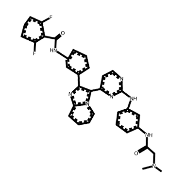 CN(C)CC(=O)Nc1cccc(Nc2nccc(-c3c(-c4cccc(NC(=O)c5c(F)cccc5F)c4)nc4ccccn34)n2)c1